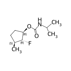 CC(C)NC(=O)O[C@@H]1CC[C@H](C)[C@H]1F